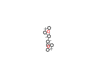 CCc1ccc(-c2ccc(C)c(-c3cccc4c3Oc3ccccc3C4(C)C)c2C)c(C)c1-c1cccc2c1Oc1ccccc1C2(C)C